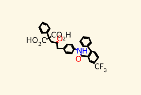 O=C(Cc1ccc(NC(=O)c2cc(C(F)(F)F)ccc2-c2ccccc2)cc1)CC(C(=O)O)(C(=O)O)c1ccccc1